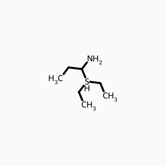 CCC(N)[SH](CC)CC